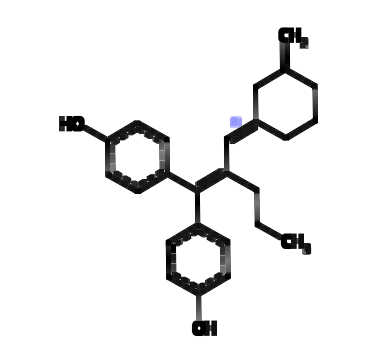 C=C1CCC/C(=C\C(CCC)=C(c2ccc(O)cc2)c2ccc(O)cc2)C1